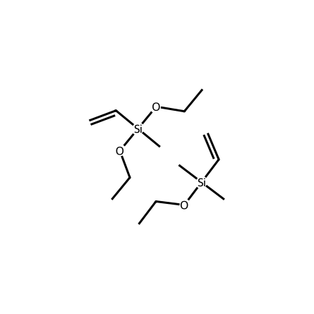 C=C[Si](C)(C)OCC.C=C[Si](C)(OCC)OCC